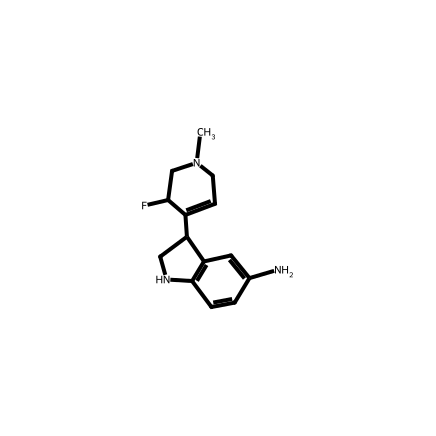 CN1CC=C(C2CNc3ccc(N)cc32)C(F)C1